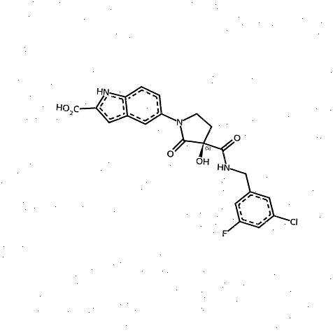 O=C(O)c1cc2cc(N3CC[C@](O)(C(=O)NCc4cc(F)cc(Cl)c4)C3=O)ccc2[nH]1